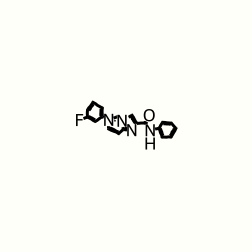 O=C(Nc1ccccc1)C1=C[N+]2CN(c3cccc(F)c3)C=CC2=N1